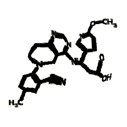 COc1ccc(C(CC(=O)O)Nc2ncnc3c2CN(c2ccc(C)cc2C#N)CC3)cn1